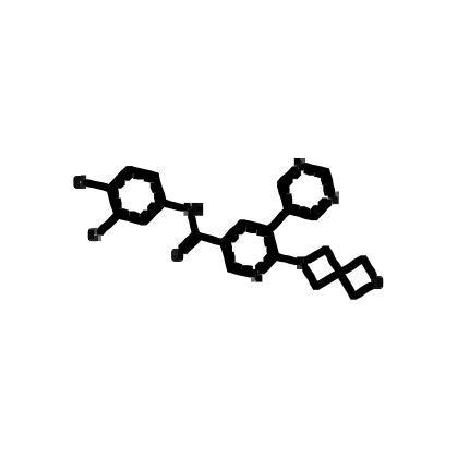 O=C(Nc1ccc(Cl)c(Cl)c1)c1cnc(N2CC3(COC3)C2)c(-c2cncnc2)c1